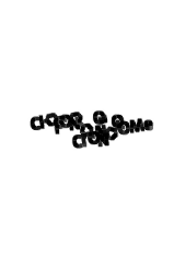 COC(=O)c1ccc2nc(Oc3ccc(-c4cccc(OCc5ccc(Cl)cc5F)n4)cc3Cl)n(C[C@@H]3CCO3)c2c1